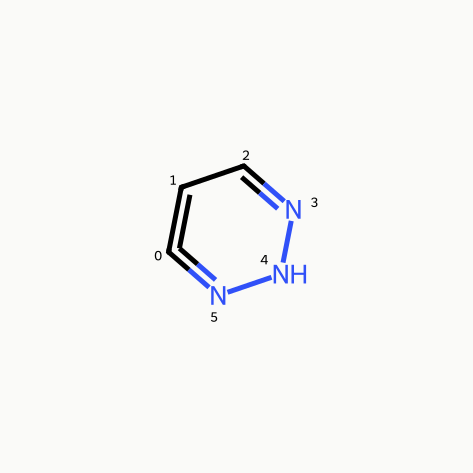 C1=CC=NNN=1